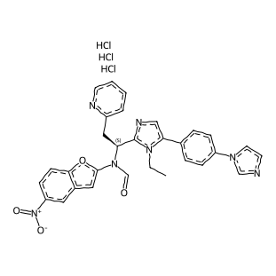 CCn1c(-c2ccc(-n3ccnc3)cc2)cnc1[C@H](Cc1ccccn1)N(C=O)c1cc2cc([N+](=O)[O-])ccc2o1.Cl.Cl.Cl